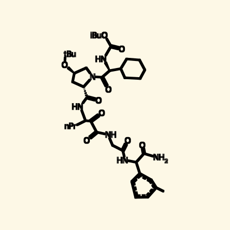 CCCC(NC(=O)[C@@H]1C[C@@H](OC(C)(C)C)CN1C(=O)[C@@H](NC(=O)OCC(C)C)C1CCCCC1)C(=O)C(=O)NCC(=O)NC(C(N)=O)c1cccc(C)c1